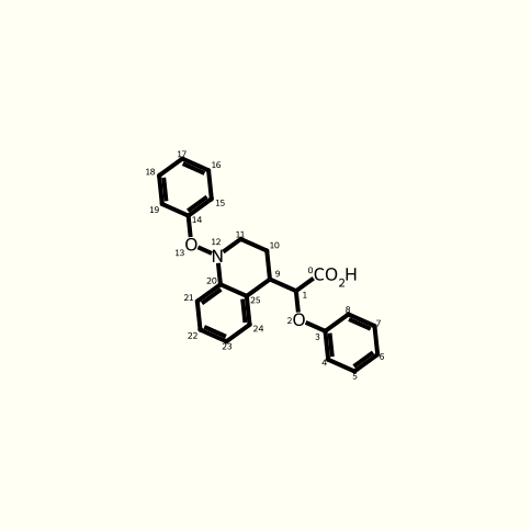 O=C(O)C(Oc1ccccc1)C1CCN(Oc2ccccc2)c2ccccc21